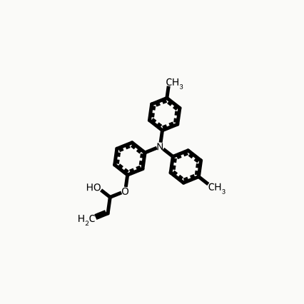 C=CC(O)Oc1cccc(N(c2ccc(C)cc2)c2ccc(C)cc2)c1